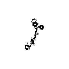 O=C(NCC1=C(F)CCC=N1)c1coc(CCNCCc2nc3cc4c(cc3n2-c2ccccc2)OCCO4)n1